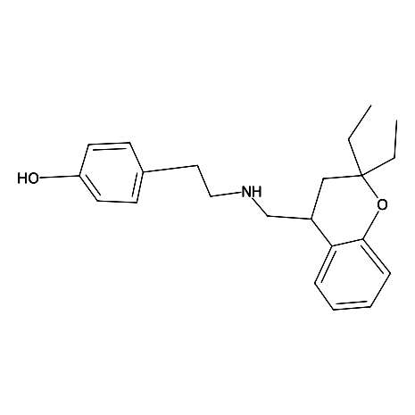 CCC1(CC)CC(CNCCc2ccc(O)cc2)c2ccccc2O1